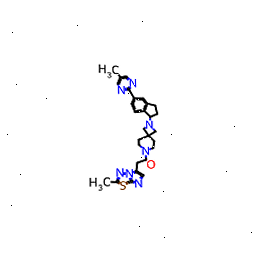 Cc1cnc(-c2ccc3c(c2)CCC3N2CC3(CCN(C(=O)Cc4cnc5sc(C)nn45)CC3)C2)nc1